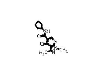 Cc1nn(C)c2ncc(C(=O)NC3CCCC3)c(Cl)c12